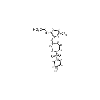 O=C(O)COc1ccc(C(F)(F)F)cc1CN1CCCN(S(=O)(=O)c2ccc(F)cc2)CC1